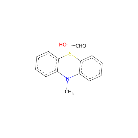 CN1c2ccccc2Sc2ccccc21.O=CO